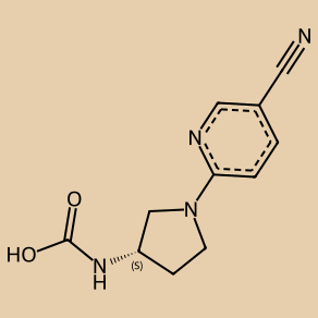 N#Cc1ccc(N2CC[C@H](NC(=O)O)C2)nc1